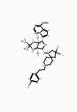 CSc1ncnn2c([C@@H]3O[C@H](CN4CC(F)(F)CC45CCN(CCc4ccc(F)cc4)CC5)[C@H]4OC(C)(C)O[C@H]43)ccc12